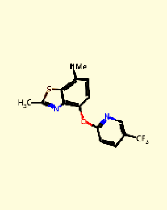 CNc1ccc(Oc2ccc(C(F)(F)F)cn2)c2nc(C)sc12